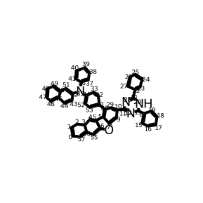 C1=CCC2C=c3c(oc4cc(C5=NC(c6ccccc6)NC(c6ccccc6)=N5)cc(-c5ccc(N(c6ccccc6)c6ccc7ccccc7c6)cc5)c34)=CC2=C1